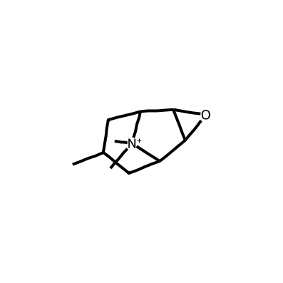 CC1CC2C3OC3C(C1)[N+]2(C)C